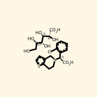 O=C(O)[C@H](O)[C@@H](O)[C@H](O)[C@H](O)CO.O=C(O)[C@H](c1ccccc1Cl)N1CCc2sccc2C1